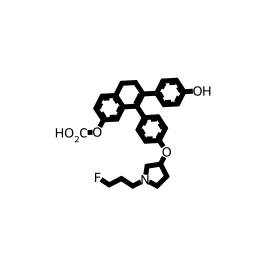 O=C(O)Oc1ccc2c(c1)C(c1ccc(OC3CCN(CCCF)C3)cc1)=C(c1ccc(O)cc1)CC2